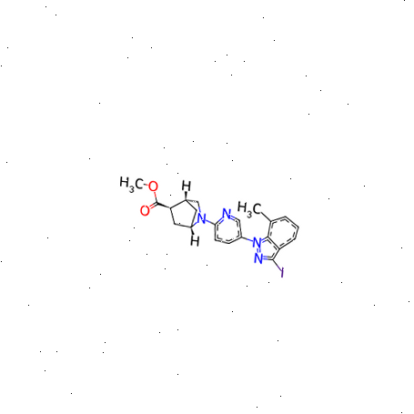 COC(=O)[C@@H]1C[C@@H]2C[C@H]1CN2c1ccc(-n2nc(I)c3cccc(C)c32)cn1